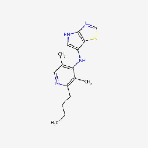 CCCCc1ncc(C)c(Nc2c[nH]c3ncsc23)c1C